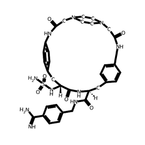 N=C(N)c1ccc(CNC(=O)[C@@H]2Cc3ccc(cc3)NC(=O)CN3CCN(CC3)CC(=O)Nc3ccc(cc3)C[C@@H](NS(N)(=O)=O)C(=O)N2)cc1